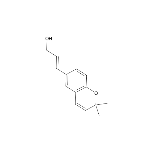 CC1(C)C=Cc2cc(/C=C/CO)ccc2O1